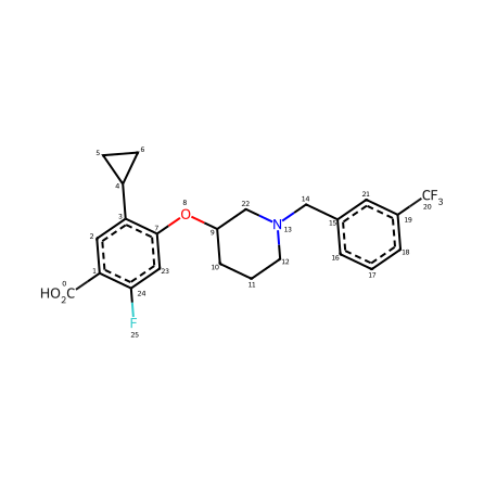 O=C(O)c1cc(C2CC2)c(OC2CCCN(Cc3cccc(C(F)(F)F)c3)C2)cc1F